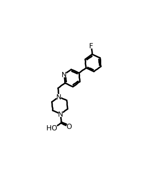 O=C(O)N1CCN(Cc2ccc(-c3cccc(F)c3)cn2)CC1